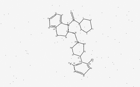 O=C(C1CCCCC1)N1c2ccccc2CCC1CN1CCC(c2c(F)cccc2Cl)CC1